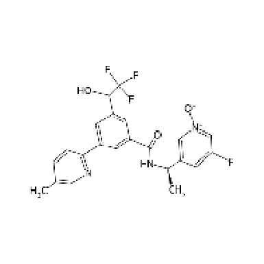 Cc1ccc(-c2cc(C(=O)N[C@H](C)c3cc(F)c[n+]([O-])c3)cc(C(O)C(F)(F)F)c2)nc1